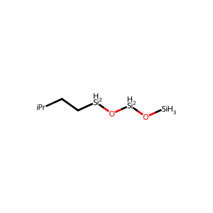 CC(C)CC[SiH2]O[SiH2]O[SiH3]